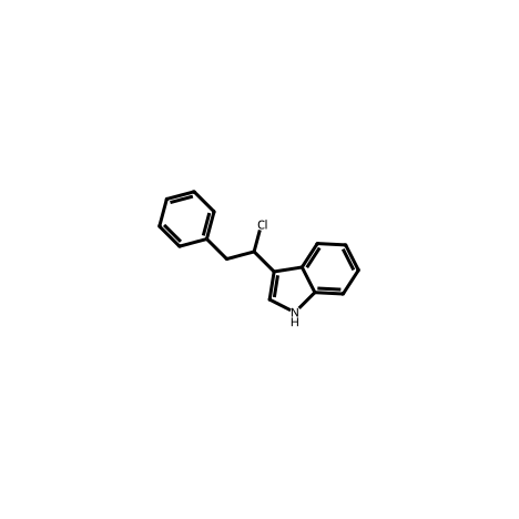 ClC(Cc1ccccc1)c1c[nH]c2ccccc12